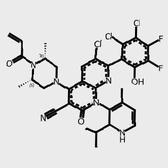 C=CC(=O)N1[C@H](C)CN(c2c(C#N)c(=O)n(C3=C(C)C=CNC3C(C)C)c3nc(-c4c(O)c(F)c(F)c(Cl)c4Cl)c(Cl)cc23)C[C@@H]1C